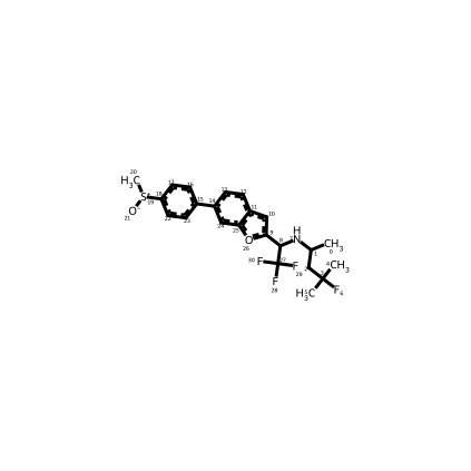 CC(CC(C)(C)F)NC(c1cc2ccc(-c3ccc([S+](C)[O-])cc3)cc2o1)C(F)(F)F